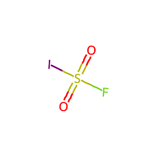 O=S(=O)(F)I